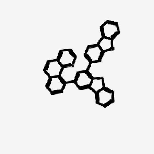 c1cnc2c(c1)ccc1cccc(-c3cc(-c4ccc5c(c4)oc4ccccc45)c4sc5ccccc5c4c3)c12